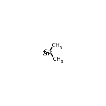 [CH3][Ga][CH3].[Zn]